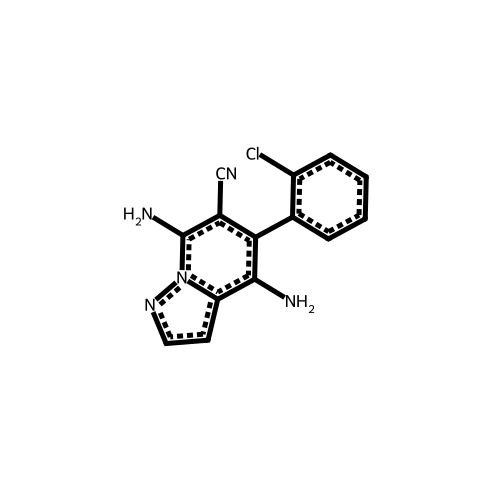 N#Cc1c(-c2ccccc2Cl)c(N)c2ccnn2c1N